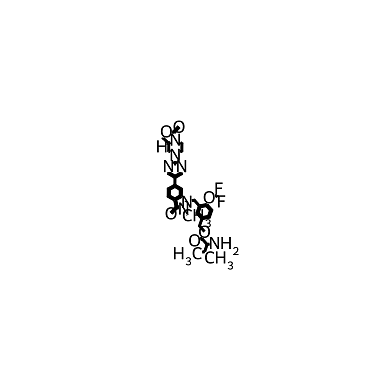 CC(C)C(N)C(=O)OCc1ccc(OC(F)F)c(Cn2c3cc(-c4cnc(N5CCN6C(=O)OC[C@@H]6C5)nc4)ccc3c(=O)n2C)c1